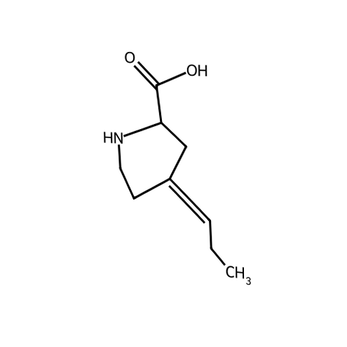 CCC=C1CCNC(C(=O)O)C1